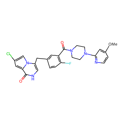 COc1ccnc(N2CCN(C(=O)c3cc(Cc4c[nH]c(=O)c5cc(Cl)cn45)ccc3F)CC2)c1